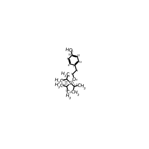 CC(C)[Si](OCCc1ccc(O)cc1)(C(C)C)C(C)C